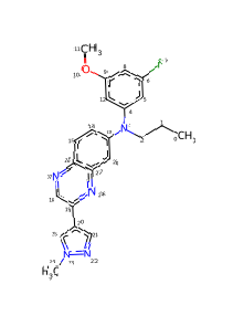 CCCN(c1cc(F)cc(OC)c1)c1ccc2ncc(-c3cnn(C)c3)nc2c1